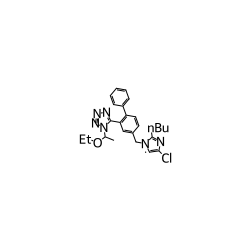 CCCCc1nc(Cl)[c]n1Cc1ccc(-c2ccccc2)c(-c2nnnn2C(C)OCC)c1